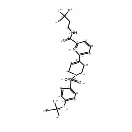 O=C(NCCC(F)(F)F)c1cccc(C2=CCN(S(=O)(=O)c3ccc(OC(F)(F)F)cc3)CC2)n1